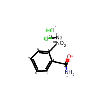 Cl.NC(=O)c1ccccc1[N+](=O)[O-].[Na][Cl]